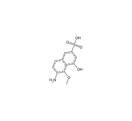 COc1c(N)ccc2cc(S(=O)(=O)O)cc(O)c12